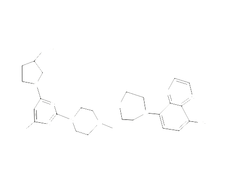 COC1CCN(c2cc(C)nc(N3CCN(C[C@H]4CN(c5ccc(C#N)c6nccnc56)C[C@@H](C)O4)CC3)n2)C1